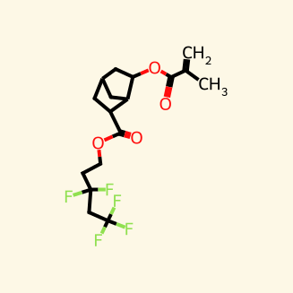 C=C(C)C(=O)OC1CC2CC(C(=O)OCCC(F)(F)CC(F)(F)F)C1C2